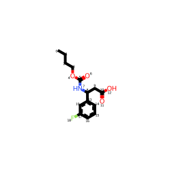 CCCCOC(=O)NC(CC(=O)O)c1cccc(F)c1